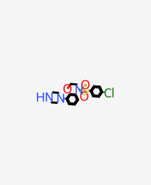 O=S(=O)(c1ccc(Cl)cc1)N1CCOc2c(N3CCNCC3)cccc21